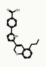 CCCc1cccc2c1C=C(c1ccc(-c3ccc(C(=O)O)cc3)[nH]1)CO2